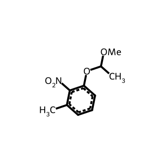 COC(C)Oc1cccc(C)c1[N+](=O)[O-]